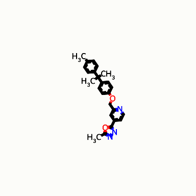 Cc1ccc(C(C)(C)c2ccc(OCc3cc(-c4nnc(C)o4)ccn3)cc2)cc1